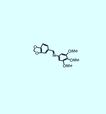 COc1cc(N=Cc2ccc3c(c2)OCO3)cc(OC)c1OC